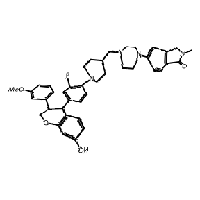 COc1cccc(C2COc3cc(O)ccc3C2c2ccc(N3CCC(CN4CCN(c5ccc6c(c5)CN(C)C6=O)CC4)CC3)c(F)c2)c1